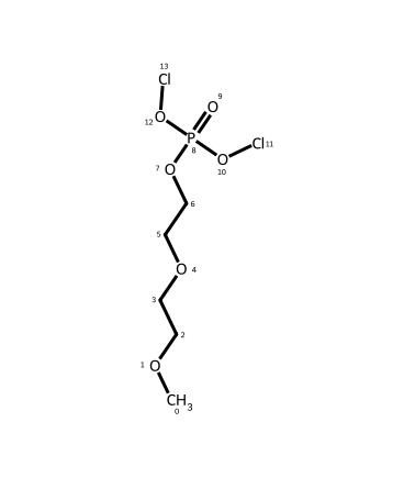 COCCOCCOP(=O)(OCl)OCl